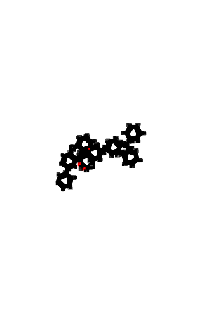 c1ccc(-c2ccc3c(c2)C2(c4ccccc4Oc4cc(-c5ccc6c(c5)c5ccccc5n6-c5ccccc5)ccc42)c2ccccc2O3)cc1